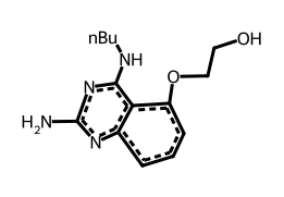 CCCCNc1nc(N)nc2cccc(OCCO)c12